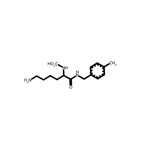 Cc1ccc(CNC(=O)C(CCCCN)NC(=O)O)cc1